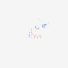 CCCCc1nn(-c2ccccc2Cl)c(NS(=O)(=O)C(F)(F)C(F)(F)F)c1Cc1ccc(-c2ccccc2-c2nnn[nH]2)cc1